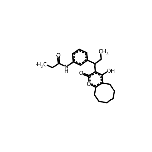 [CH2]CC(=O)Nc1cccc(C(CC)c2c(O)c3c(oc2=O)CCCCCC3)c1